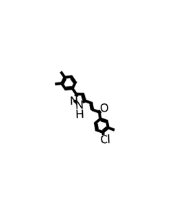 Cc1ccc(-c2cc(/C=C/C(=O)c3ccc(Cl)c(C)c3)[nH]n2)cc1C